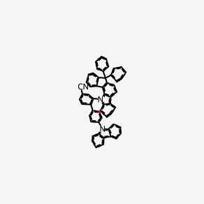 N#Cc1ccc(-c2ccc(-n3c4ccccc4c4ccccc43)cc2)c(-n2c3ccccc3c3ccc4c(c32)-c2ccccc2C4(c2ccccc2)c2ccccc2)c1